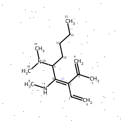 C=C/C(C(=C)C)=C(\NC)C(CCCC)N(C)C